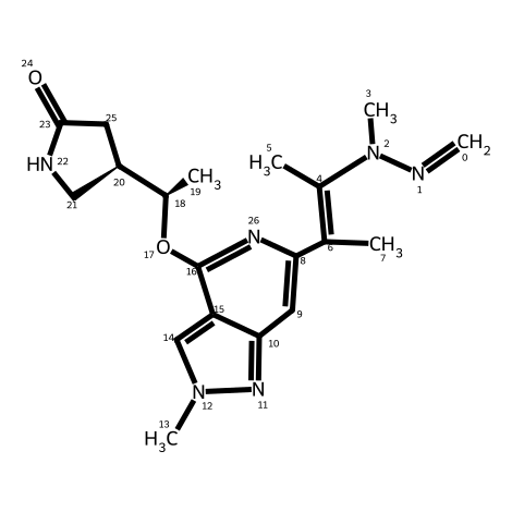 C=NN(C)/C(C)=C(\C)c1cc2nn(C)cc2c(O[C@H](C)[C@H]2CNC(=O)C2)n1